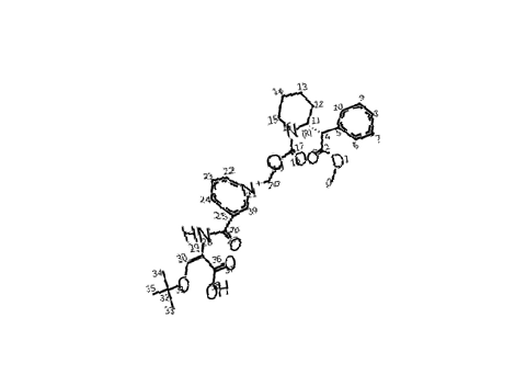 COC(=O)C(c1ccccc1)[C@H]1CCCCN1C(=O)OC[n+]1cccc(C(=O)NC(COC(C)(C)C)C(=O)O)c1